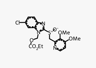 CCOC(=O)OCn1c([S+]([O-])Cc2nccc(OC)c2OC)nc2ccc(Cl)cc21